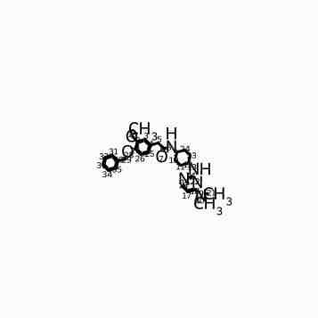 COc1cc(CC(=O)NC2CCC(Nc3nccc(N(C)C)n3)CC2)ccc1OCc1ccccc1